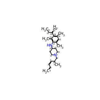 C=C/C=C\C(C)CN1CCC(Nc2c(C)cc(C)c(C(=C)CC)c2C)CC1